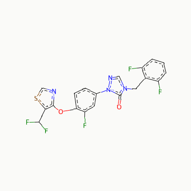 O=c1n(Cc2c(F)cccc2F)cnn1-c1ccc(Oc2ncsc2C(F)F)c(F)c1